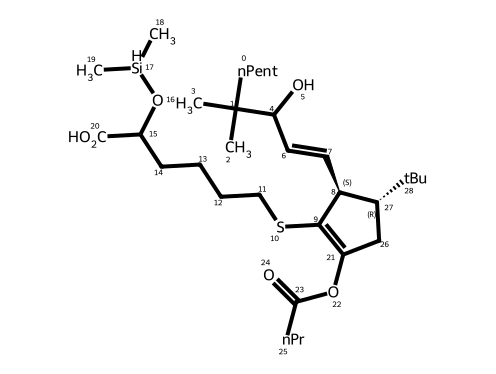 CCCCCC(C)(C)C(O)C=C[C@@H]1C(SCCCCC(O[SiH](C)C)C(=O)O)=C(OC(=O)CCC)C[C@H]1C(C)(C)C